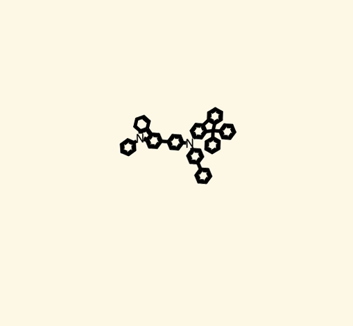 C1=Cc2c(n(-c3ccccc3)c3ccc(-c4ccc(N(c5ccc(-c6ccccc6)cc5)c5ccc6c(c5)C(c5ccccc5)(c5ccccc5)c5ccccc5-6)cc4)cc23)CC1